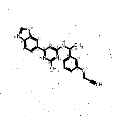 C#CCOc1cccc(C(C)Nc2cc(-c3ccc4ncsc4c3)nc(C)n2)c1